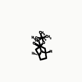 CNC1C[C@@H]2CC[C@@H](C1)N2C(=O)OC(C)(C)C